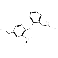 CNCc1ccccc1Sc1ccc(CO)cc1[N+](=O)[O-]